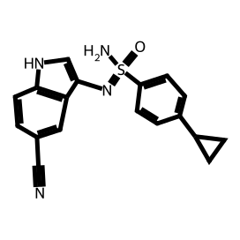 N#Cc1ccc2[nH]cc(N=S(N)(=O)c3ccc(C4CC4)cc3)c2c1